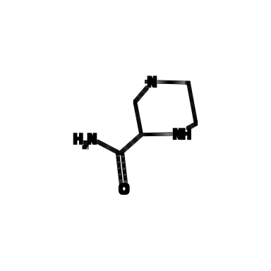 NC(=O)C1C[N]CCN1